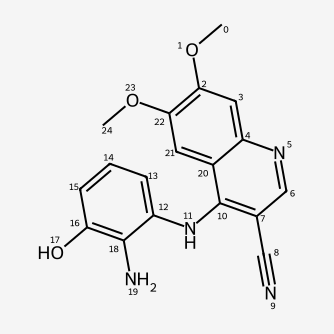 COc1cc2ncc(C#N)c(Nc3cccc(O)c3N)c2cc1OC